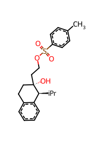 Cc1ccc(S(=O)(=O)OCC[C@]2(O)CCc3ccccc3[C@@H]2C(C)C)cc1